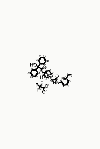 CCc1cccc(NC(=O)C[N+]23CCC(CC2)[C@@H](OC(=O)C(O)(c2ccccc2)c2ccccc2)C3)n1.O=C([O-])C(F)(F)F